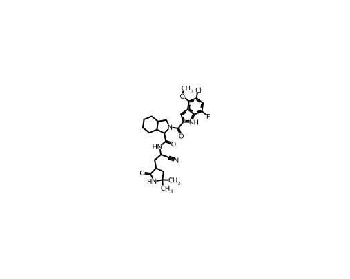 COc1c(Cl)cc(F)c2[nH]c(C(=O)N3CC4CCCCC4C3C(=O)NC(C#N)CC3CC(C)(C)NC3=O)cc12